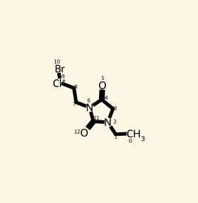 CCN1CC(=O)N(CC[Cl+]Br)C1=O